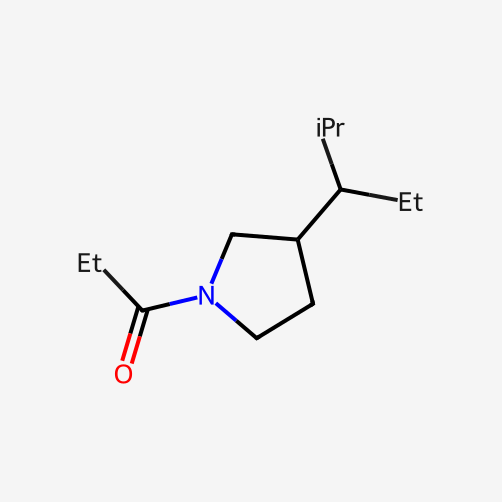 CCC(=O)N1CCC(C(CC)C(C)C)C1